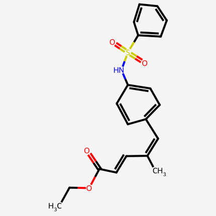 CCOC(=O)C=CC(C)=Cc1ccc(NS(=O)(=O)c2ccccc2)cc1